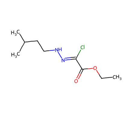 CCOC(=O)/C(Cl)=N/NCCC(C)C